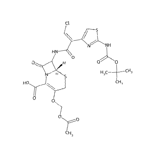 CC(=O)OCOC1=C(C(=O)O)N2C(=O)C(NC(=O)C(=CCl)c3csc(NC(=O)OC(C)(C)C)n3)[C@@H]2SC1